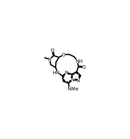 CNc1cc2nc3c(cnn13)C(=O)NCCOC1CC(CN(C)C1=O)N2